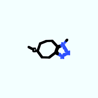 CCC1CCCc2c(nnn2C)CC1